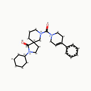 O=C(N1CC=C(c2ccccc2)CC1)N1CCCC2(CCN(C3CCCCC3)C2=O)C1